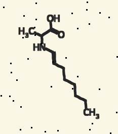 CCCCCC/C=C/NC(C)C(=O)O